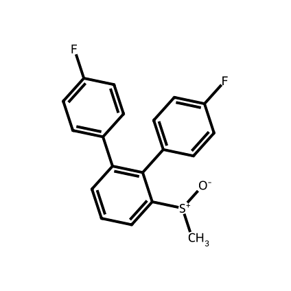 C[S+]([O-])c1cccc(-c2ccc(F)cc2)c1-c1ccc(F)cc1